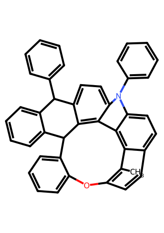 Cc1c2ccc3ccc4c(c13)c1c3c(ccc1n4-c1ccccc1)C(c1ccccc1)c1ccccc1C3c1ccccc1O2